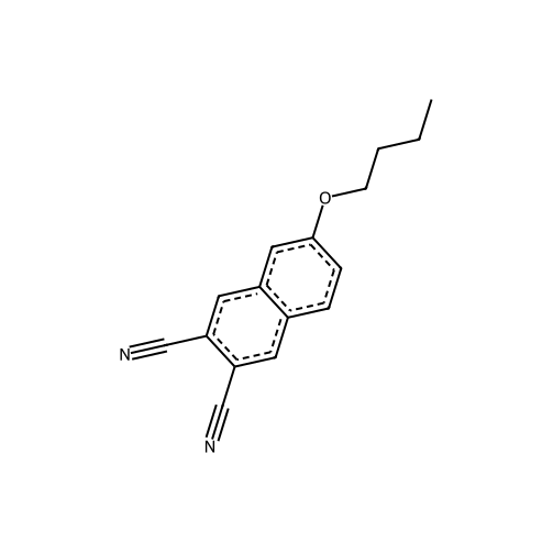 CCCCOc1ccc2cc(C#N)c(C#N)cc2c1